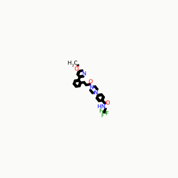 CCOc1cncc(-c2ccccc2CCC(=O)N2CCN(c3ccc(C(=O)NCC(F)(F)F)cc3)CC2)c1